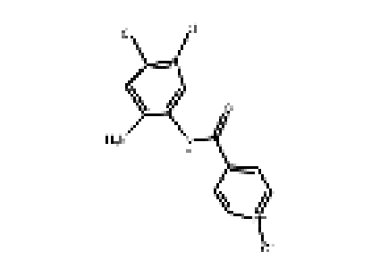 Nc1cc(Cl)c(Cl)cc1NC(=O)c1cc[n+]([O-])cc1